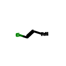 ClC=[CH][PoH]